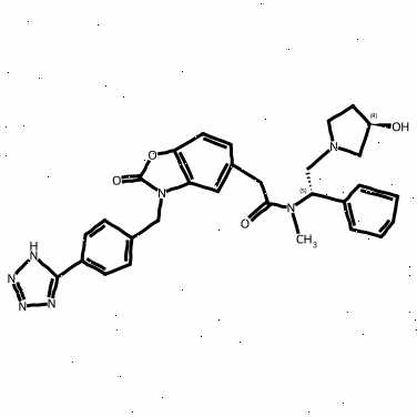 CN(C(=O)Cc1ccc2oc(=O)n(Cc3ccc(-c4nnn[nH]4)cc3)c2c1)[C@H](CN1CC[C@@H](O)C1)c1ccccc1